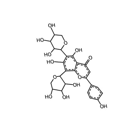 O=c1cc(-c2ccc(O)cc2)oc2c(C3OCC(O)C(O)C3O)c(O)c(C3OCC(O)C(O)C3O)c(O)c12